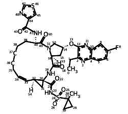 CCc1nc2ccc(F)cc2nc1O[C@@H]1C[C@H]2C(=O)N[C@]3(C(=O)NS(=O)(=O)C4(C)CC4)C[C@H]3/C=C\CCCCC[C@H](NC(=O)c3cscn3)C(=O)N2C1